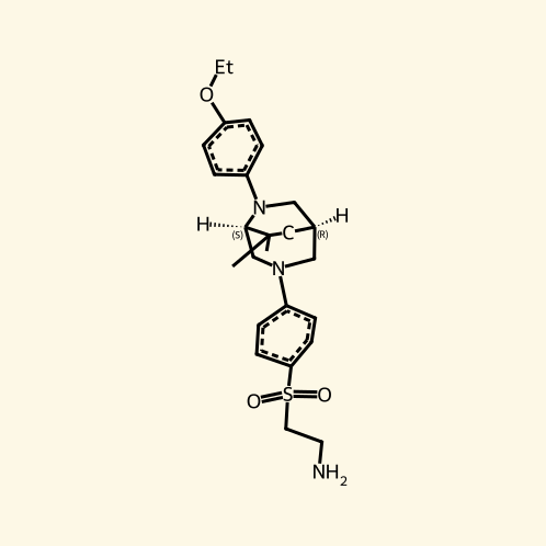 CCOc1ccc(N2C[C@H]3CN(c4ccc(S(=O)(=O)CCN)cc4)C[C@@H]2C(C)(C)C3)cc1